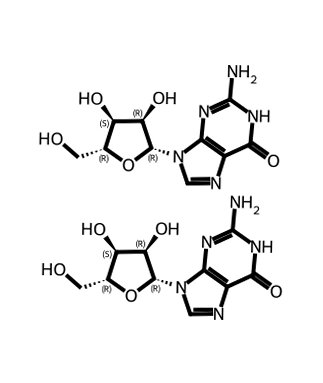 Nc1nc2c(ncn2[C@@H]2O[C@H](CO)[C@@H](O)[C@H]2O)c(=O)[nH]1.Nc1nc2c(ncn2[C@@H]2O[C@H](CO)[C@@H](O)[C@H]2O)c(=O)[nH]1